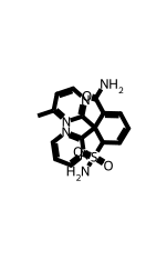 Cc1ccnc(C2(c3ncccn3)C(C(N)=O)=CC=CC2S(N)(=O)=O)n1